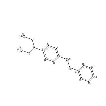 OCC(CO)c1ccc(OCc2ccccc2)cc1